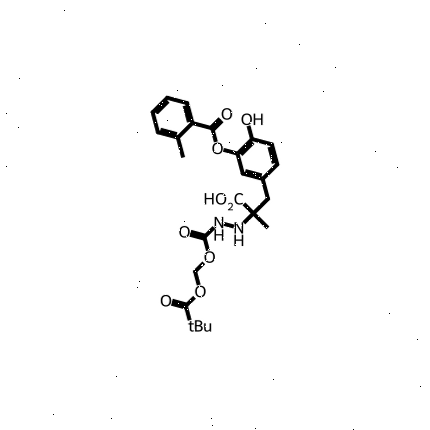 Cc1ccccc1C(=O)Oc1cc(CC(C)(NNC(=O)OCOC(=O)C(C)(C)C)C(=O)O)ccc1O